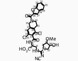 COC1CN(/C(=N/C#N)NC[C@H](NC(=O)c2c(Cl)cc3c(c2Cl)CCN(C(=O)c2cc4ccccc4o2)C3)C(=O)O)CC1O